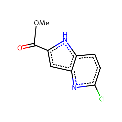 COC(=O)c1cc2nc(Cl)ccc2[nH]1